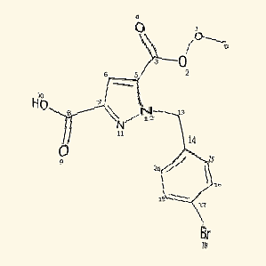 COOC(=O)c1cc(C(=O)O)nn1Cc1ccc(Br)cc1